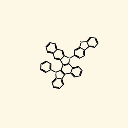 c1ccc(-n2c3ccccc3c3c4ccccc4c4c(c5cc6ccccc6cc5n4-c4ccc5c(c4)sc4ccccc45)c32)cc1